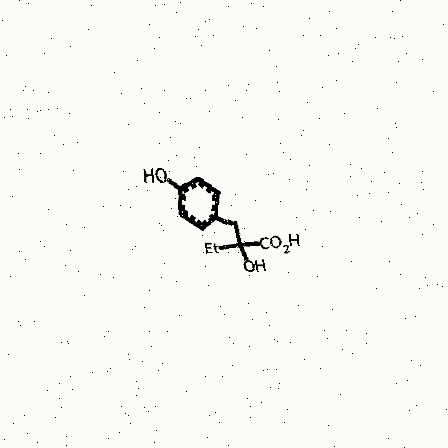 CCC(O)(Cc1ccc(O)cc1)C(=O)O